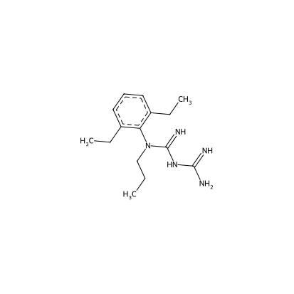 CCCN(C(=N)NC(=N)N)c1c(CC)cccc1CC